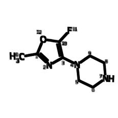 Cc1nc(N2CCNCC2)c(F)o1